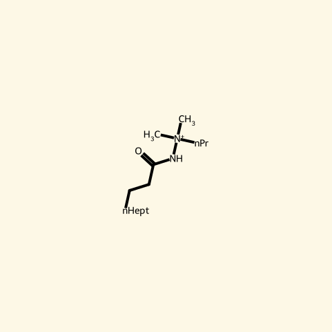 CCCCCCCCCC(=O)N[N+](C)(C)CCC